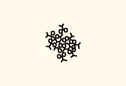 CC(C)C(=O)OCC1OC(OC2C(COC(=O)C(C)C)OC(OC(=O)C(C)C)C(OC(=O)C(C)C)C2OC(=O)C(C)C)C(OC(=O)C(C)C)C(OC(=O)C(C)C)C1OC(=O)C(C)C